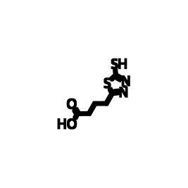 O=C(O)CCCc1nnc(S)s1